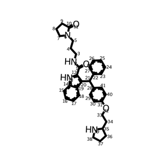 O=C(NCCCN1CCCC1=O)c1[nH]c2ccccc2c1C(c1ccccc1)c1ccc(OCCC2CCCN2)cc1